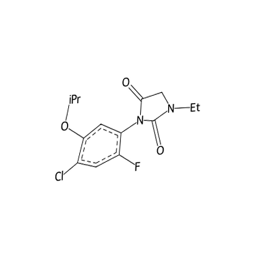 CCN1CC(=O)N(c2cc(OC(C)C)c(Cl)cc2F)C1=O